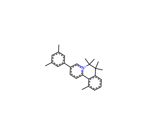 Cc1cc(C)cc(-c2ccc3[n+](c2)C(C)(C)C(C)(C)c2cccc(C)c2-3)c1